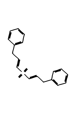 O=S(=O)(C=CCc1ccccc1)C=CCc1ccccc1